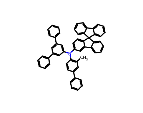 Cc1cc(-c2ccccc2)ccc1N(c1cc(-c2ccccc2)cc(-c2ccccc2)c1)c1ccc2c(c1)-c1ccccc1C21c2ccccc2-c2ccccc21